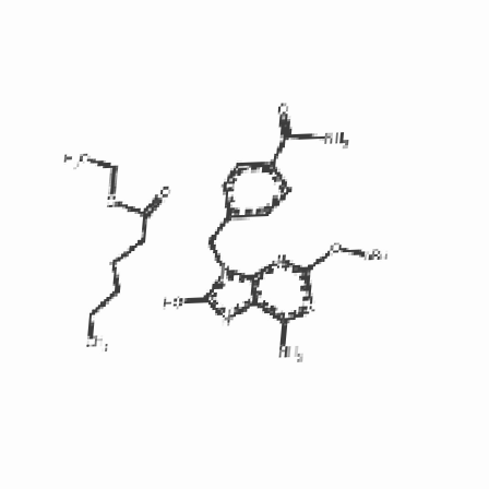 CCCCCC(=O)OCC.CCCCOc1nc(N)c2nc(O)n(Cc3ccc(C(N)=O)cc3)c2n1